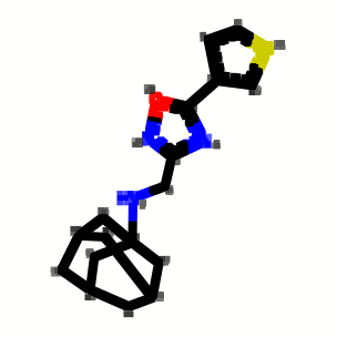 c1cc(-c2nc(CNC34CC5CC(CC(C5)C3)C4)no2)cs1